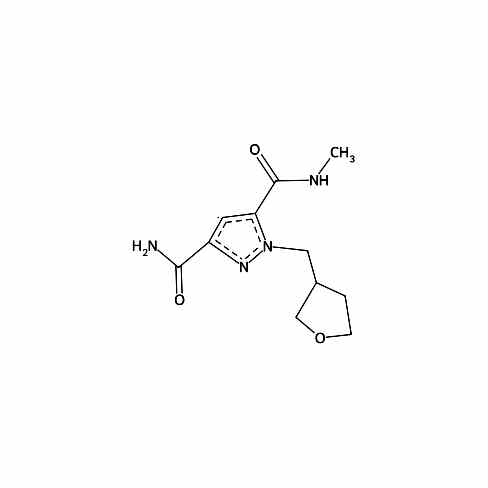 CNC(=O)c1[c]c(C(N)=O)nn1CC1CCOC1